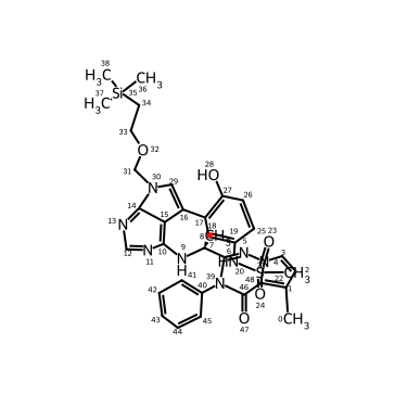 Cc1ccn2nc([C@H](C)Nc3ncnc4c3c(-c3cc(NS(C)(=O)=O)ccc3O)cn4COCC[Si](C)(C)C)n(-c3ccccc3)c(=O)c12